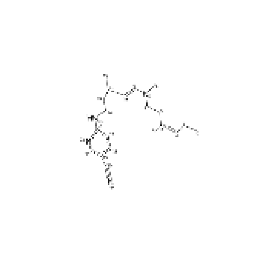 CC/C=C(/C)CCN(C)/C=C/[C@@H](C)CCNc1ccc(C#N)cn1